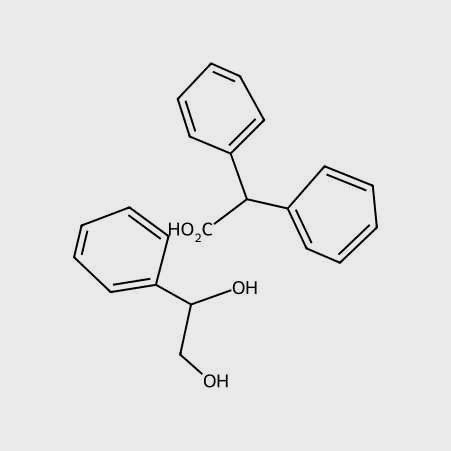 O=C(O)C(c1ccccc1)c1ccccc1.OCC(O)c1ccccc1